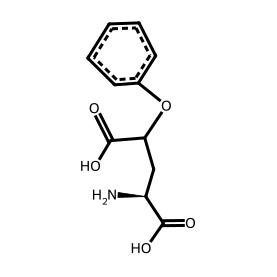 N[C@@H](CC(Oc1ccccc1)C(=O)O)C(=O)O